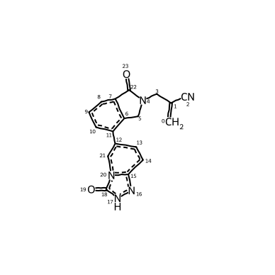 C=C(C#N)CN1Cc2c(cccc2-c2ccc3n[nH]c(=O)n3c2)C1=O